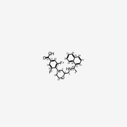 C[C@@H](NCC1CN(c2c(F)cc(C(=O)O)cc2F)CCO1)c1cccc2ccccc12